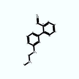 COCOc1cccc(-c2ccccc2C=O)c1